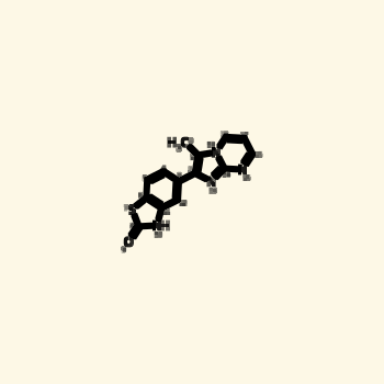 Cc1c(-c2ccc3sc(=O)[nH]c3c2)nc2ncccn12